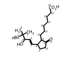 CCCCC(C)(C)C(O)C=CC1CCC(=O)C1CCCCCCC(=O)O